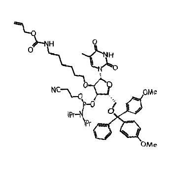 C=CCOC(=O)NCCCCCCO[C@@H]1[C@H](OP(OCCC#N)N(C(C)C)C(C)C)[C@@H](COC(c2ccccc2)(c2ccc(OC)cc2)c2ccc(OC)cc2)O[C@H]1n1cc(C)c(=O)[nH]c1=O